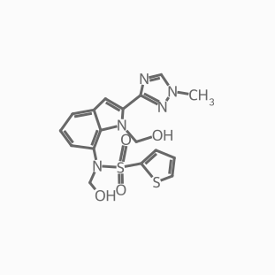 Cn1cnc(-c2cc3cccc(N(CO)S(=O)(=O)c4cccs4)c3n2CO)n1